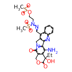 CC[C@@]1(O)C(=O)OCc2c1c(N)c1n(c2=O)Cc2c-1nc1ccccc1c2/C=N/N(CCOS(C)(=O)=O)S(C)(=O)=O